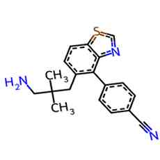 CC(C)(CN)Cc1ccc2scnc2c1-c1ccc(C#N)cc1